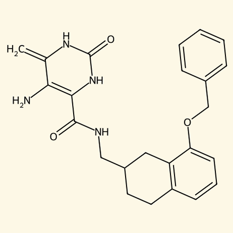 C=C1NC(=O)NC(C(=O)NCC2CCc3cccc(OCc4ccccc4)c3C2)=C1N